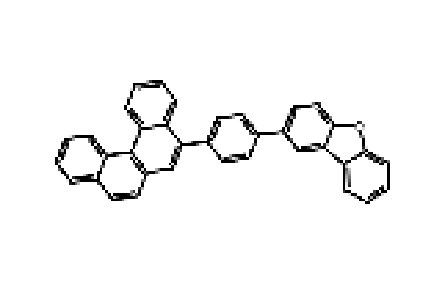 c1ccc2c(c1)ccc1cc(-c3ccc(-c4ccc5oc6ccccc6c5c4)cc3)c3ccccc3c12